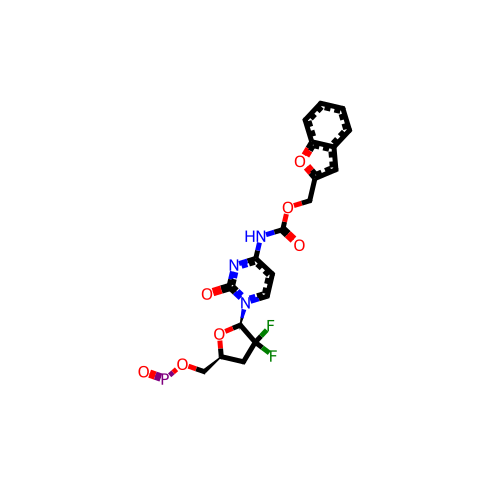 O=POC[C@@H]1CC(F)(F)[C@H](n2ccc(NC(=O)OCc3cc4ccccc4o3)nc2=O)O1